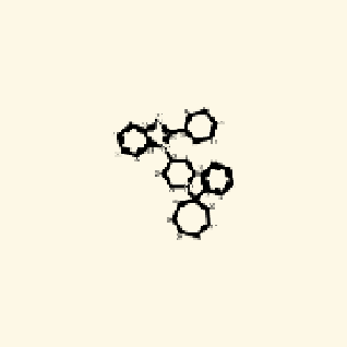 c1ccc(C2(N3CCC(n4c(C5CCCCC5)nc5ccccc54)CC3)CCCCCC2)cc1